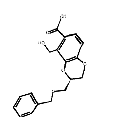 O=C(O)c1ccc2c(c1CO)O[C@H](COCc1ccccc1)CO2